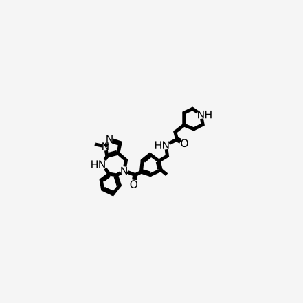 Cc1cc(C(=O)N2Cc3cnn(C)c3Nc3ccccc32)ccc1CNC(=O)CC1CCNCC1